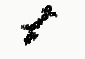 COc1cc(C=C2SC(N3CCN(C(C)C4CCCCN4)CC3)=NC2=O)ccc1OCc1ccc(C(F)(F)F)cc1C(F)(F)F